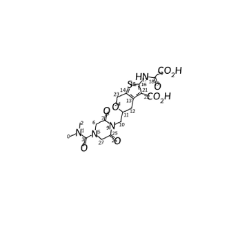 CN(C)C(=O)N1CC(=O)N(CC2Cc3c(sc(NC(=O)C(=O)O)c3C(=O)O)CO2)C(=O)C1